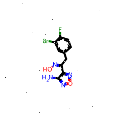 Nc1nonc1C(Cc1ccc(F)c(Br)c1)=NO